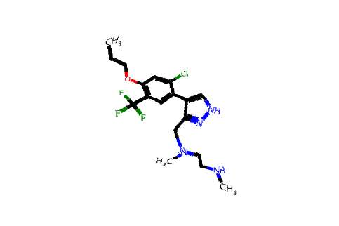 CCCOc1cc(Cl)c(-c2c[nH]nc2CN(C)CCNC)cc1C(F)(F)F